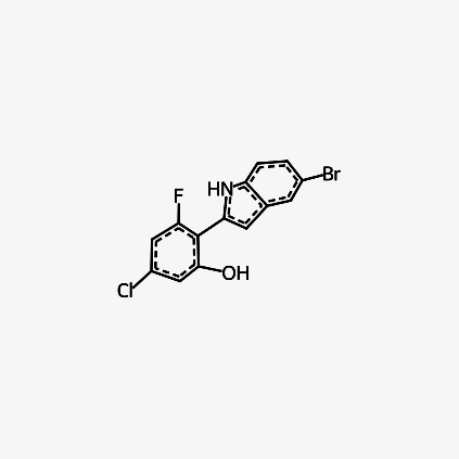 Oc1cc(Cl)cc(F)c1-c1cc2cc(Br)ccc2[nH]1